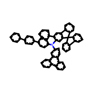 c1ccc(-c2ccc(-c3ccc(N(c4ccc5c6ccccc6c6ccccc6c5c4)c4cc5c(cc4-c4ccccc4)-c4ccccc4C54c5ccccc5-c5ccccc54)cc3)cc2)cc1